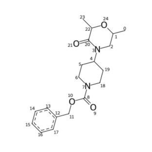 CC1CN(C2CCN(C(=O)OCc3ccccc3)CC2)C(=O)C(C)O1